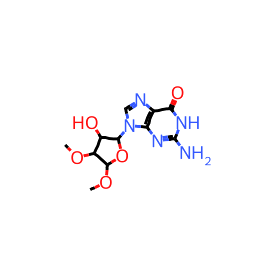 COC1OC(n2cnc3c(=O)[nH]c(N)nc32)C(O)C1OC